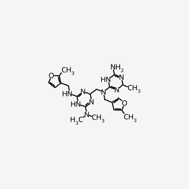 Cc1cc(CN(CC2N=C(NCc3ccoc3C)NC(N(C)C)=N2)C2=NC(C)N=C(N)N2)co1